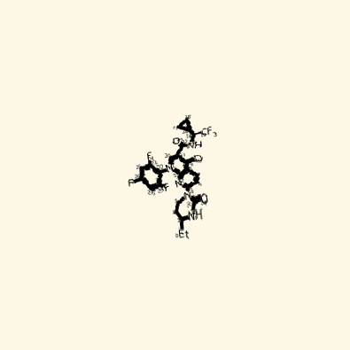 CCC1CCN(c2ccc3c(=O)c(C(=O)N[C@@H](C4CC4)C(F)(F)F)cn(-c4c(F)cc(F)cc4F)c3n2)C(=O)N1